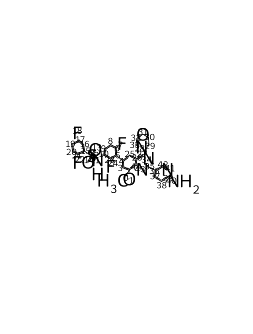 COc1cc(-c2c(F)ccc(NS(=O)(=O)c3cc(F)ccc3F)c2F)cc2c(N3CCOCC3)nc(-c3ccc(N)nc3)nc12